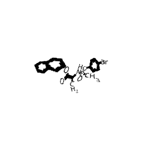 C[C@H](NP(C)(=O)Oc1ccc(Br)cc1)C(=O)Oc1ccc2ccccc2c1